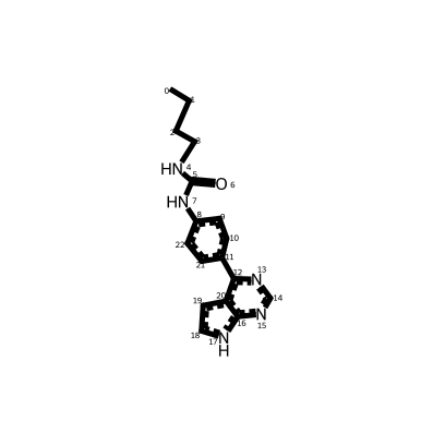 CCCCNC(=O)Nc1ccc(-c2ncnc3[nH]ccc23)cc1